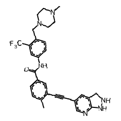 Cc1ccc(C(=O)Nc2ccc(CN3CCN(C)CC3)c(C(F)(F)F)c2)cc1C#Cc1cnc2c(c1)CNN2